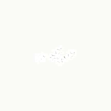 CCN(CC)CCn1cc(-c2ccnc(N=Cc3ccc(F)cc3)c2)c(-c2ccc(F)cc2)n1